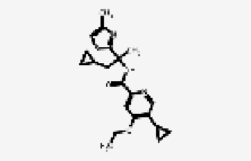 Cc1csc(C(C)(CC2CC2)NC(=O)c2cc(OCC(F)(F)F)c(C3CC3)cn2)n1